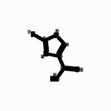 O=C(O)c1coc(F)n1